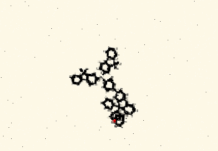 CC1(C)c2ccccc2-c2ccc(N(c3ccc(-c4ccc5c(c4)C(c4ccccc4)(c4ccccc4)c4c(-c6ccccc6)cccc4-5)cc3)c3ccc4c(c3)C(C)(C)c3ccccc3-4)cc21